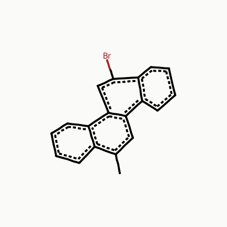 Cc1cc2c3ccccc3c(Br)cc2c2ccccc12